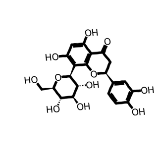 O=C1C[C@@H](c2ccc(O)c(O)c2)Oc2c1c(O)cc(O)c2[C@@H]1O[C@H](CO)[C@@H](O)[C@H](O)[C@H]1O